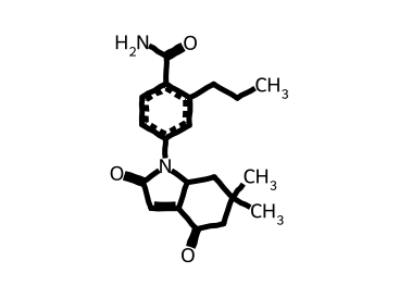 CCCc1cc(N2C(=O)C=C3C(=O)CC(C)(C)CC32)ccc1C(N)=O